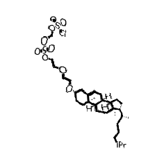 CC(C)CCC[C@@H](C)[C@H]1CC[C@H]2[C@@H]3CC=C4C[C@@H](OCCOCCOS(=O)(=O)OCOS(=O)(=O)Cl)CC[C@]4(C)[C@H]3CC[C@]12C